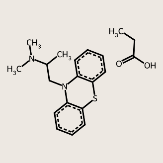 CC(CN1c2ccccc2Sc2ccccc21)N(C)C.CCC(=O)O